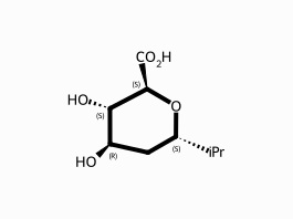 CC(C)[C@@H]1C[C@@H](O)[C@H](O)[C@@H](C(=O)O)O1